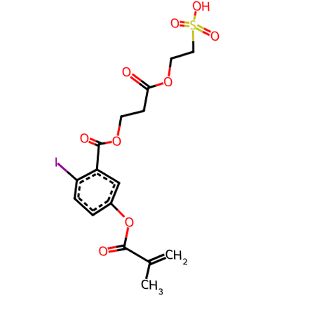 C=C(C)C(=O)Oc1ccc(I)c(C(=O)OCCC(=O)OCCS(=O)(=O)O)c1